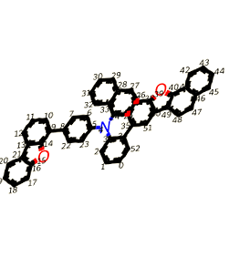 c1ccc(N(c2ccc(-c3cccc4c3oc3ccccc34)cc2)c2cccc3ccccc23)c(-c2ccc3oc4c5ccccc5ccc4c3c2)c1